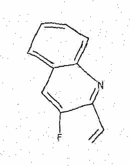 C=Cc1nc2ccccc2cc1F